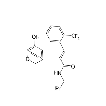 CC(C)CNC(=O)C=Cc1ccccc1C(F)(F)F.Oc1cc2ccc1OC2